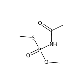 COP(=O)(NC(C)=O)SC